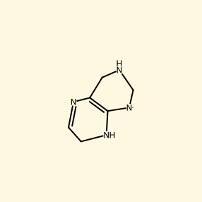 C1=NC2=C([N]CNC2)NC1